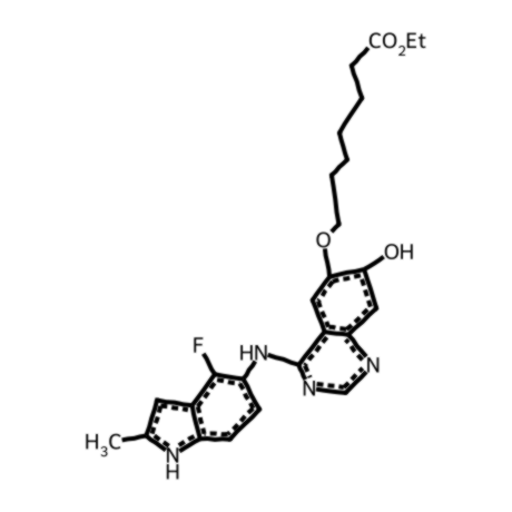 CCOC(=O)CCCCCCOc1cc2c(Nc3ccc4[nH]c(C)cc4c3F)ncnc2cc1O